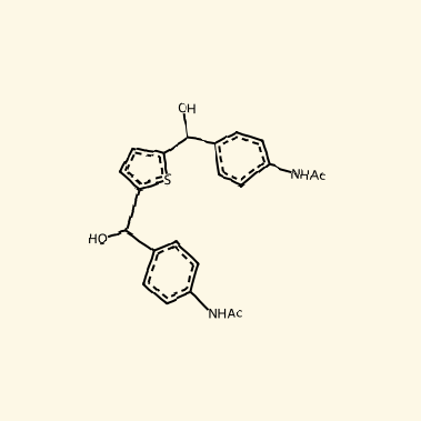 CC(=O)Nc1ccc(C(O)c2ccc(C(O)c3ccc(NC(C)=O)cc3)s2)cc1